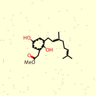 COC(=O)Cc1cc(O)cc(C/C=C(\C)CCC=C(C)C)c1O